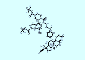 CC#C[C@]1(O)CC[C@H]2[C@@H]3CCC4=CC(=O)CCC4=C3[C@@H](c3ccc(N(C)CCCC(=O)N4CCN(C(=O)OC(C)(C)C)CC4C(=O)N4CCN(C(=O)OC(C)(C)C)CC4C(=O)O)cc3)C[C@@]21C